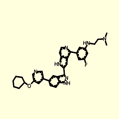 CN(C)CCNc1cc(F)cc(-c2nccc3[nH]c(-c4n[nH]c5ccc(-c6cncc(OC7CCCCC7)c6)cc45)cc23)c1